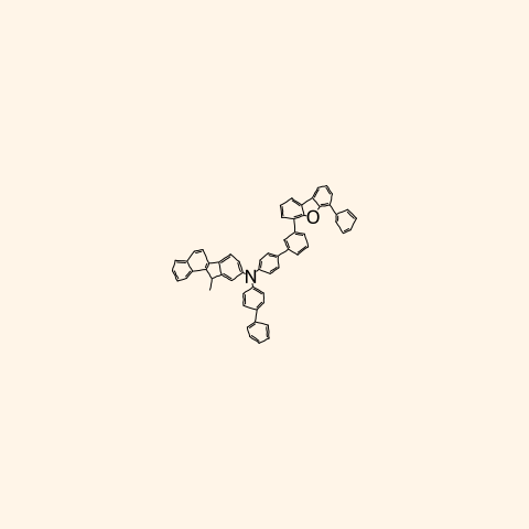 CC1c2cc(N(c3ccc(-c4ccccc4)cc3)c3ccc(-c4cccc(-c5cccc6c5oc5c(-c7ccccc7)cccc56)c4)cc3)ccc2-c2ccc3ccccc3c21